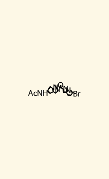 CC(=O)Nc1ccc2c(c1)CCN(C(=O)c1cc3ccc(Br)cn3n1)N2C